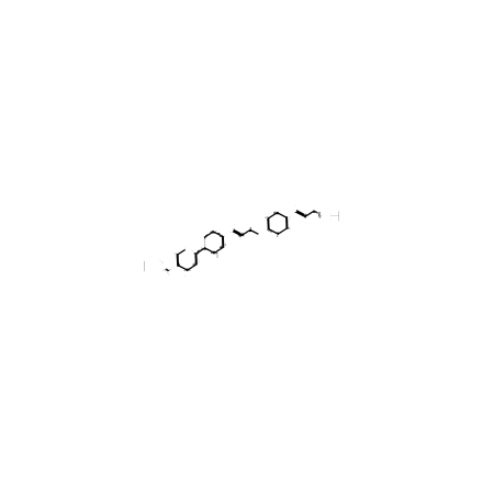 CCC=C[C@H]1CC[C@H](CCC=C[C@H]2CC[C@H]([C@H]3CC[C@H](CC)CC3)CC2)CC1